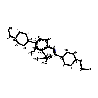 CCCC1CCC(/C=C/c2ccc(C3CCC(CC)CC3)c(F)c2C(F)(F)F)CC1